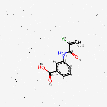 C=C(F)C(=O)Nc1cccc(C(=O)O)c1